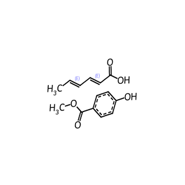 C/C=C/C=C/C(=O)O.COC(=O)c1ccc(O)cc1